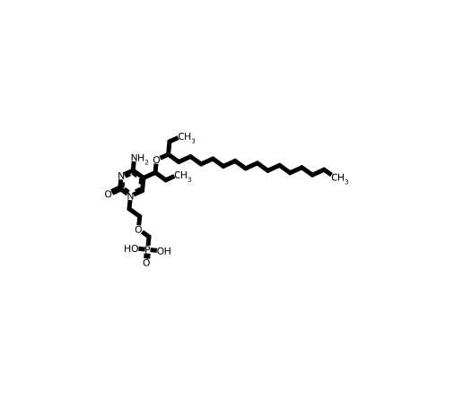 CCCCCCCCCCCCCCCC(CC)OC(CC)c1cn(CCOCP(=O)(O)O)c(=O)nc1N